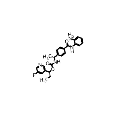 CC[C@H](OC(=O)N[C@@H](C)c1ccc(C(=O)Nc2ccccc2N)cc1)c1cncc(F)c1